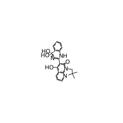 CC(C)(C)Cn1c(=O)c(C2=NS(O)(O)c3ccccc3N2)c(O)c2cccnc21